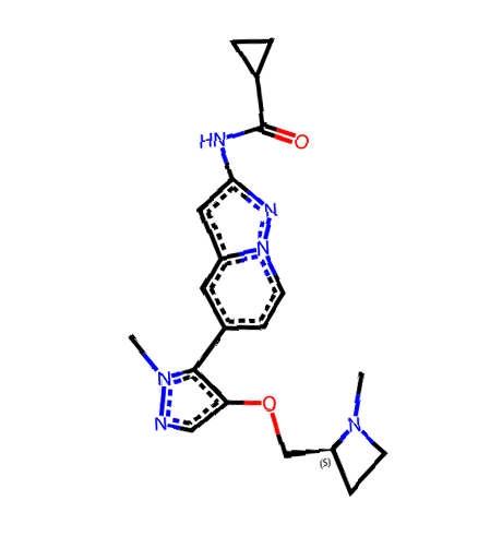 CN1CC[C@H]1COc1cnn(C)c1-c1ccn2nc(NC(=O)C3CC3)cc2c1